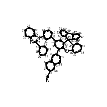 N#Cc1ccc2cc(-c3cc(-c4cccc(-n5c(-c6ccccc6)nc6ccccc65)c4)cc4c3Oc3ccccc3C43c4ccccc4-c4ccccc43)ccc2c1